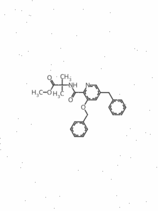 COC(=O)C(C)(C)NC(=O)c1ncc(Cc2ccccc2)cc1OCc1ccccc1